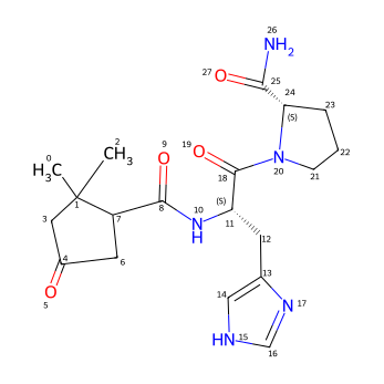 CC1(C)CC(=O)CC1C(=O)N[C@@H](Cc1c[nH]cn1)C(=O)N1CCC[C@H]1C(N)=O